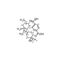 C[C@@H]1C[C@H](c2c(C(=O)O)ccc(C(=O)O)c2[C@H]2C[C@@H](C)CC(C)(C)C2)CC(C)(C)C1